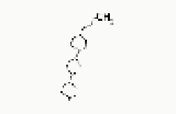 C=CCCC1CCC(C2CCC(C3CC[CH]CC3)CC2)CC1